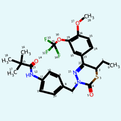 CCC1SC(=O)N(Cc2ccc(NC(=O)C(C)(C)C)cc2)N=C1c1ccc(OC)c(OC(F)(F)F)c1